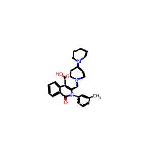 Cc1cccc(-n2c(CN3CCC(N4CCCCC4)CC3)c(C(=O)O)c3ccccc3c2=O)c1